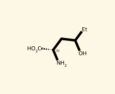 CCC(O)C[C@H](N)C(=O)O